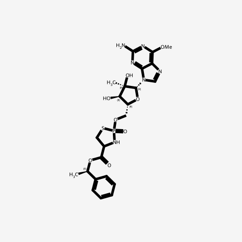 COc1nc(N)nc2c1ncn2[C@@H]1O[C@H](COP2(=O)NC(C(=O)O[C@H](C)c3ccccc3)CS2)[C@@H](O)[C@@]1(C)O